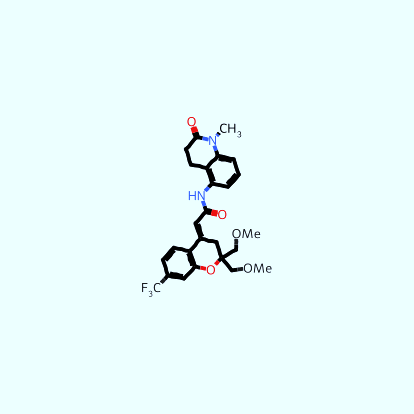 COCC1(COC)C/C(=C\C(=O)Nc2cccc3c2CCC(=O)N3C)c2ccc(C(F)(F)F)cc2O1